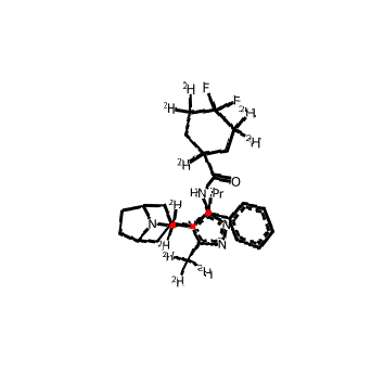 [2H]C1(C(=O)NC(CC([2H])([2H])N2C3CCC2CC(n2c(C(C)C)nnc2C([2H])([2H])[2H])C3)c2ccccc2)CC([2H])([2H])C(F)(F)C([2H])([2H])C1